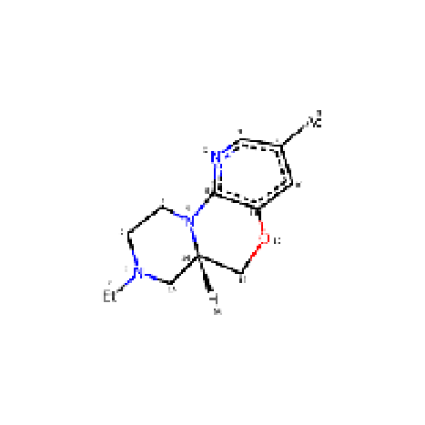 CCN1CCN2c3ncc(C(C)=O)cc3OC[C@@H]2C1